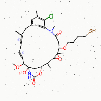 COC1/C=C/C=C(\C)Cc2cc(C)c(Cl)c(c2)N(C)C(=O)CC(OCCCCS)C2(C)OC2C(C)C2CC1(O)NC(=O)O2